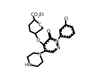 CCOC(=O)C1CCC(Oc2c(N3CCNCC3)cnn(-c3cccc(Cl)c3)c2=O)CC1